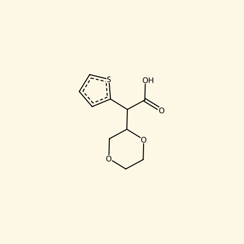 O=C(O)C(c1cccs1)C1COCCO1